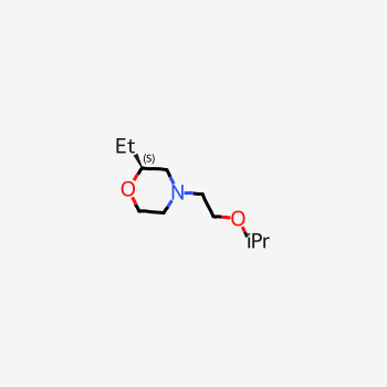 CC[C@H]1CN(CCOC(C)C)CCO1